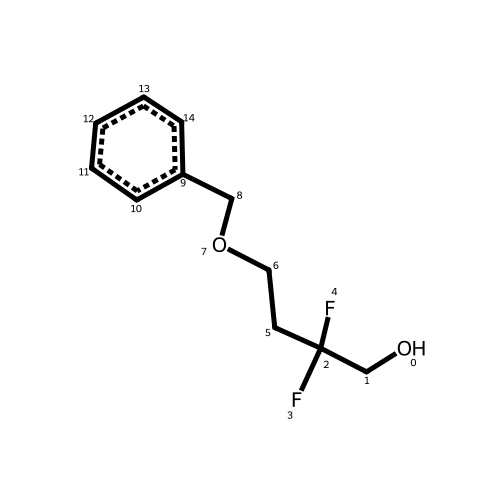 OCC(F)(F)CCOCc1ccccc1